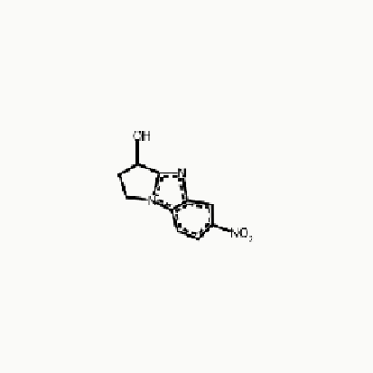 O=[N+]([O-])c1ccc2c(c1)nc1n2CCC1O